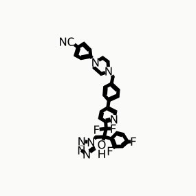 N#Cc1ccc(N2CCN(Cc3ccc(-c4ccc(C(F)(F)C(O)(Cn5cnnn5)c5ccc(F)cc5F)nc4)cc3)CC2)cc1